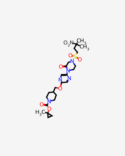 CC1(OC(=O)N2CCC(COc3cnc(N4CCN(S(=O)(=O)CCC(C)(C)[N+](=O)[O-])CC4=O)cn3)CC2)CC1